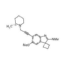 CNC1=Nc2cc(C#CCN3CCCC[C@H]3C)c(OC)cc2C12CCC2